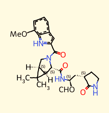 COc1cccc2cc(C(=O)N3C[C@H]4[C@@H]([C@H]3C(=O)N[C@H](C=O)C[C@@H]3CCNC3=O)C4(C)C)[nH]c12